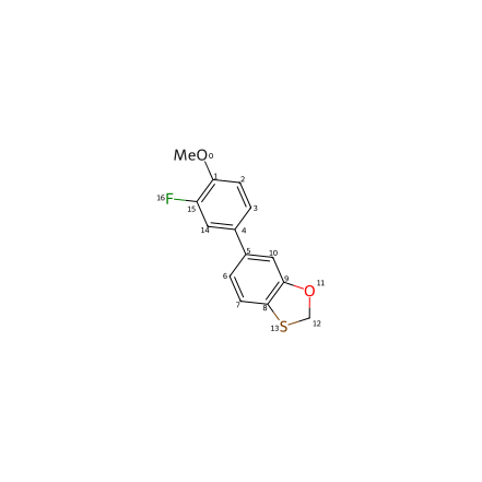 COc1ccc(-c2ccc3c(c2)OCS3)cc1F